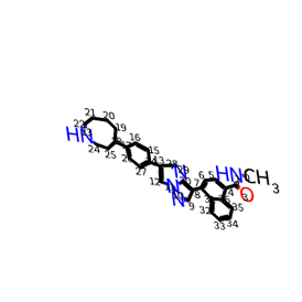 CNC(=O)c1ccc(-c2cnn3cc(-c4ccc(C5CCCCNCC5)cc4)cnc23)c2ccccc12